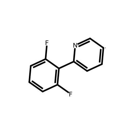 Fc1cccc(F)c1-c1cc[c]cn1